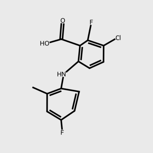 Cc1cc(F)ccc1Nc1ccc(Cl)c(F)c1C(=O)O